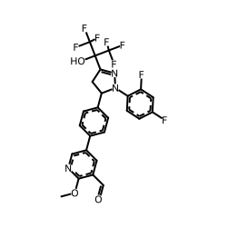 COc1ncc(-c2ccc(C3CC(C(O)(C(F)(F)F)C(F)(F)F)=NN3c3ccc(F)cc3F)cc2)cc1C=O